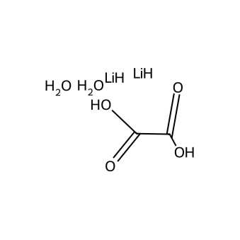 O.O.O=C(O)C(=O)O.[LiH].[LiH]